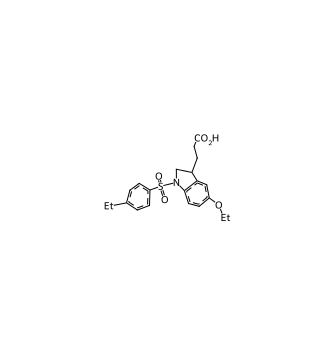 CCOc1ccc2c(c1)C(CCC(=O)O)CN2S(=O)(=O)c1ccc(CC)cc1